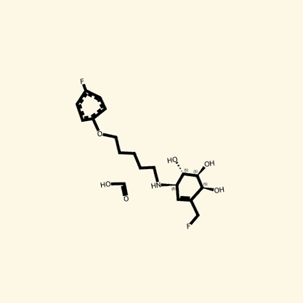 O=CO.O[C@@H]1[C@@H](O)[C@@H](O)C(CF)=C[C@H]1NCCCCCOc1ccc(F)cc1